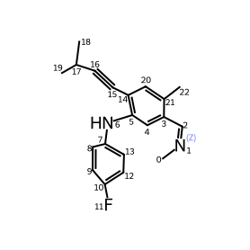 C/N=C\c1cc(Nc2ccc(F)cc2)c(C#CC(C)C)cc1C